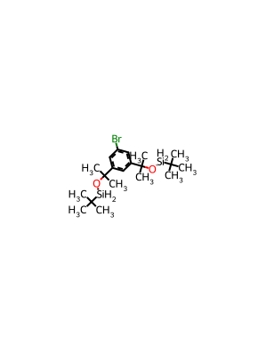 CC(C)(C)[SiH2]OC(C)(C)c1cc(Br)cc(C(C)(C)O[SiH2]C(C)(C)C)c1